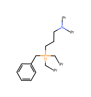 CC(C)C[PH](CCCN(C(C)C)C(C)C)(Cc1ccccc1)CC(C)C